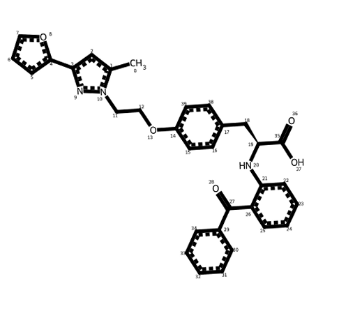 Cc1cc(-c2ccco2)nn1CCOc1ccc(C[C@H](Nc2ccccc2C(=O)c2ccccc2)C(=O)O)cc1